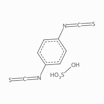 O=S(=O)(O)O.S=C=Nc1ccc(N=C=S)cc1